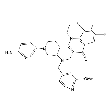 COc1cc(CN(Cc2cn3c4c(c(F)c(F)cc4c2=O)SCC3)C2CCCN(c3ccc(N)nc3)C2)ccn1